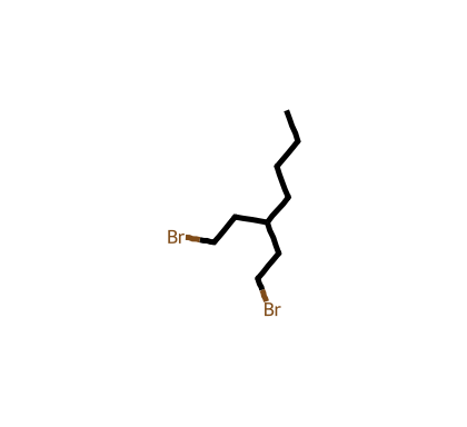 CCCCC(CCBr)CCBr